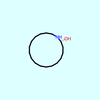 O[C@@H]1CCCCCCCCCCCCCCCCN1